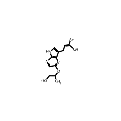 CC(=O)/C(C#N)=C/Cc1c[nH]c2ncc(OC(C)CO)nc12